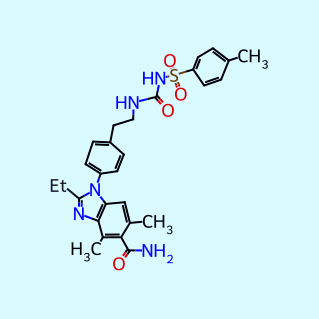 CCc1nc2c(C)c(C(N)=O)c(C)cc2n1-c1ccc(CCNC(=O)NS(=O)(=O)c2ccc(C)cc2)cc1